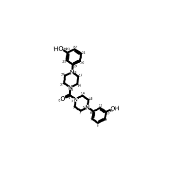 O=C(N1CCN(c2cccc(O)c2)CC1)N1CCN(c2cccc(O)c2)CC1